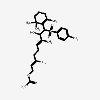 CC(=O)OC/C=C(\C)CC/C=C(\C)C(O)C(C1=C(C)CCCC1(C)C)S(=O)(=O)c1ccc(C)cc1